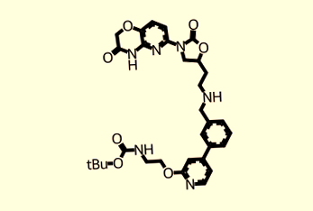 CC(C)(C)OC(=O)NCCOc1cc(-c2cccc(CNCCC3CN(c4ccc5c(n4)NC(=O)CO5)C(=O)O3)c2)ccn1